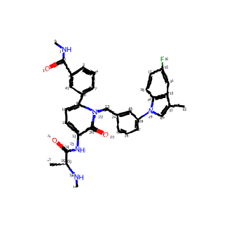 CNC(=O)c1cccc(-c2ccc(NC(=O)[C@H](C)NC)c(=O)n2Cc2cccc(-n3cc(C)c4cc(F)ccc43)c2)c1